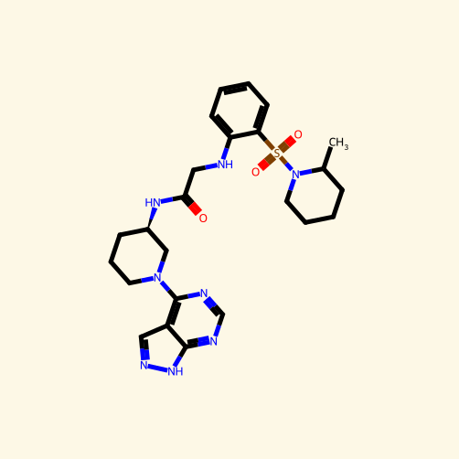 CC1CCCCN1S(=O)(=O)c1ccccc1NCC(=O)N[C@@H]1CCCN(c2ncnc3[nH]ncc23)C1